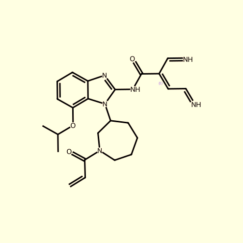 C=CC(=O)N1CCCCC(n2c(NC(=O)/C(C=N)=C/C=N)nc3cccc(OC(C)C)c32)C1